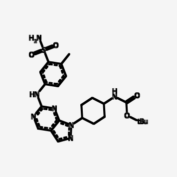 Cc1ccc(Nc2ncc3cnn(C4CCC(NC(=O)OC(C)(C)C)CC4)c3n2)cc1S(N)(=O)=O